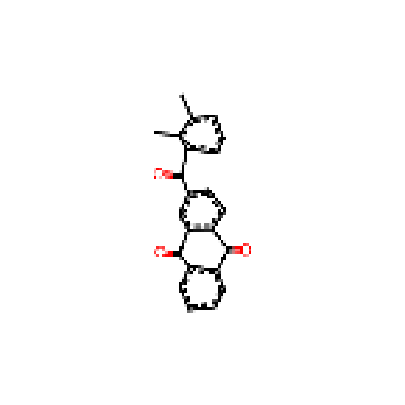 Cc1cccc(C(=O)c2ccc3c(c2)C(=O)c2ccccc2C3=O)c1C